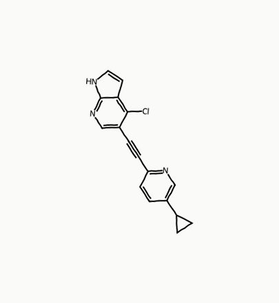 Clc1c(C#Cc2ccc(C3CC3)cn2)cnc2[nH]ccc12